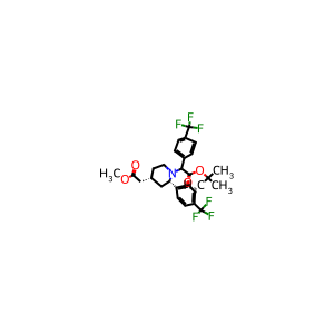 COC(=O)C[C@@H]1CCN(C(C(=O)OC(C)(C)C)c2ccc(C(F)(F)F)cc2)[C@H](c2ccc(C(F)(F)F)cc2)C1